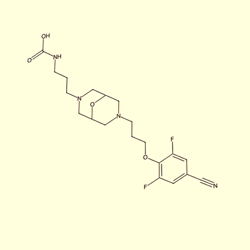 N#Cc1cc(F)c(OCCCN2CC3CN(CCCNC(=O)O)CC(C2)O3)c(F)c1